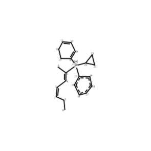 CC/C=C\C=C(/C)[PH](C1=CC=CCC1)(c1ccccc1)C1CC1